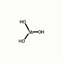 [OH][Sb]([OH])[OH]